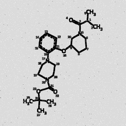 CC(C)C(=O)N1CCCC(Oc2ccccc2N2CCN(C(=O)OC(C)(C)C)CC2)C1